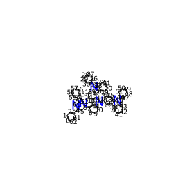 c1ccc(-c2cc(-c3cccc4c3c3ccc5c(c6ccccc6n5-c5ccccc5)c3n4-c3ccc4c(c3)c3ccccc3n4-c3ccccc3)nc(-c3ccccc3)n2)cc1